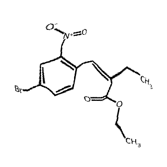 CCOC(=O)C(=Cc1ccc(Br)cc1[N+](=O)[O-])CC